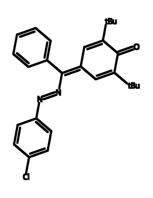 CC(C)(C)C1=CC(=C(N=Nc2ccc(Cl)cc2)c2ccccc2)C=C(C(C)(C)C)C1=O